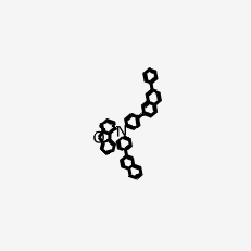 c1ccc(-c2ccc3ccc(-c4ccc(N(c5ccc(-c6ccc7ccccc7c6)cc5)c5cccc6oc7ccccc7c56)cc4)cc3c2)cc1